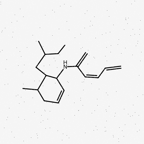 C=C/C=C\C(=C)NC1C=CCC(C)C1CC(C)CC